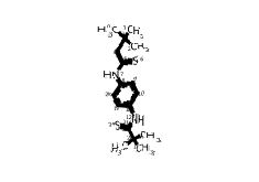 CC(C)(C)CC(=S)Nc1ccc(NC(=S)C(C)(C)C)cc1